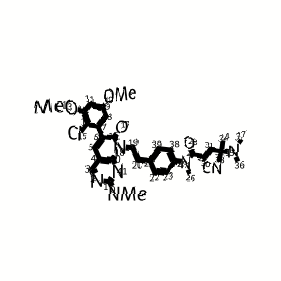 CNc1ncc2cc(-c3cc(OC)cc(OC)c3Cl)c(=O)n(CCc3ccc(N(C)C(=O)/C(C#N)=C/C(C)(C)N(C)C)cc3)c2n1